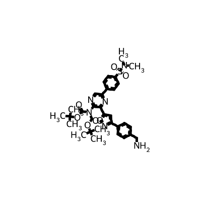 CN(C)S(=O)(=O)c1ccc(-c2cnc(N(C(=O)OC(C)(C)C)C(=O)OC(C)(C)C)c(-c3cc(-c4ccc(CN)cc4)no3)n2)cc1